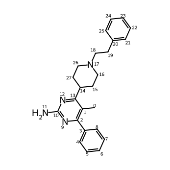 Cc1c(-c2ccccc2)nc(N)nc1C1CCN(CCc2ccccc2)CC1